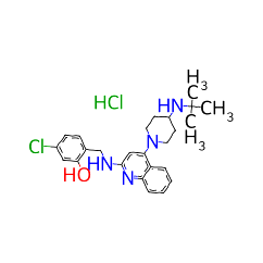 CC(C)(C)NC1CCN(c2cc(NCc3ccc(Cl)cc3O)nc3ccccc23)CC1.Cl